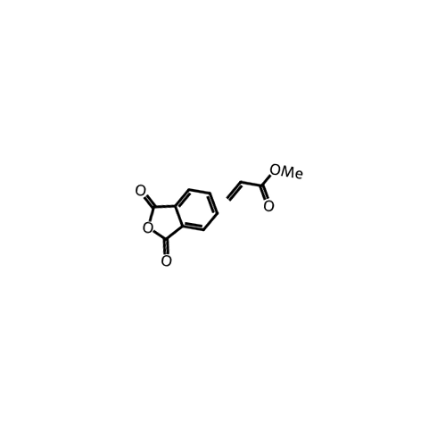 C=CC(=O)OC.O=C1OC(=O)c2ccccc21